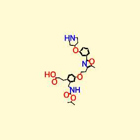 Cc1oc(-c2cccc(OC3CCNCC3)c2)nc1CCOc1ccc(CCC(=O)O)c(CNC(=O)OC(C)C)c1